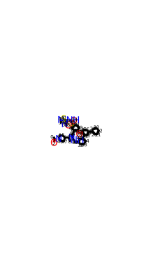 CC(=O)N1CCC(CCNCc2cccc(-c3cc(-c4ccccc4)ccc3Oc3ccc(S(=O)(=O)Nc4ncns4)cc3C#N)c2)CC1